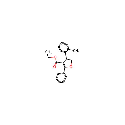 CCOC(=O)C1=C(c2ccccc2)OCC1c1ccccc1C